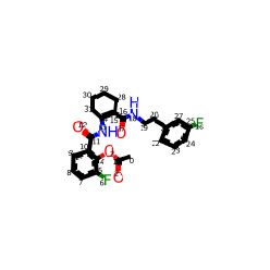 CC(=O)Oc1c(F)cccc1C(=O)NC1=C(C(=O)NCCc2cccc(F)c2)CCCC1